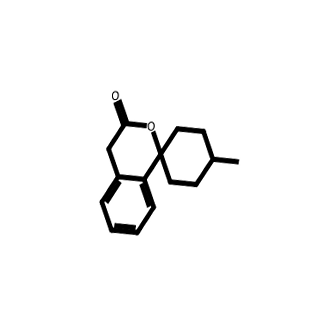 CC1CCC2(CC1)OC(=O)Cc1ccccc12